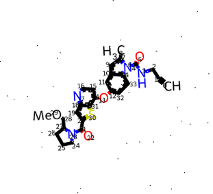 C#CCNC(=O)n1c(C)cc2cc(Oc3ccnc4cc(C(=O)N5CCCC5COC)sc34)ccc21